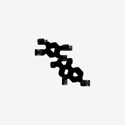 CC(C)(C)c1cc(C(C)(C)C)c(NC(=O)c2c[nH]c3cc(O)ccc3c2=O)cc1O